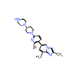 Cc1cn2cc(-c3ccc(N4CCC(N5CCNCC5)CC4)nc3C(C)C)cc(C)c2n1